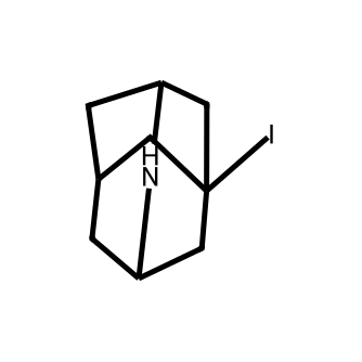 IC12CC3CC(C1)NC(C3)C2